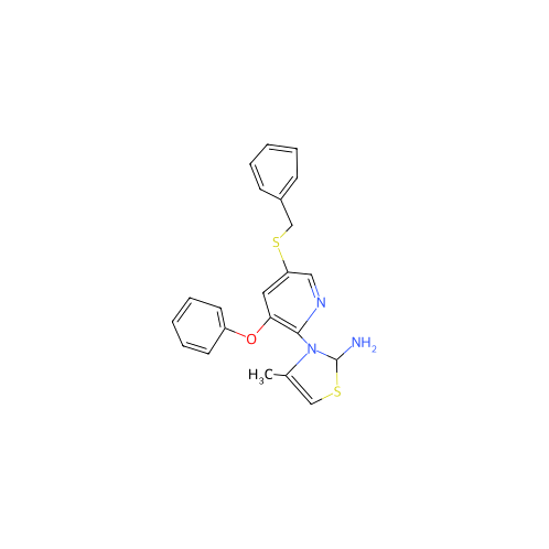 CC1=CSC(N)N1c1ncc(SCc2ccccc2)cc1Oc1ccccc1